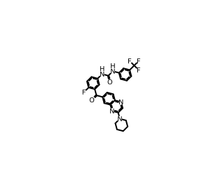 O=C(Nc1cccc(C(F)(F)F)c1)Nc1ccc(F)c(C(=O)c2ccc3ncc(N4CCCCC4)nc3c2)c1